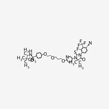 CC(NC(=O)c1ccc(OCCOCCCOc2ccc(N3C(=S)N(c4ccc(C#N)c(C(F)(F)F)c4F)C(=O)C3(C)C)cn2)cc1)C(C)(C)C